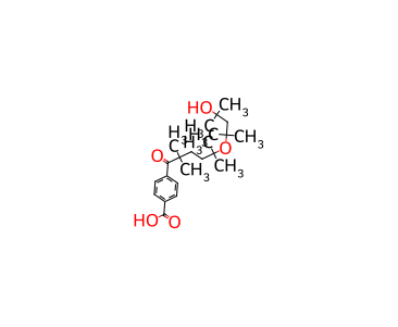 CC(C)(O)CC(C)(C)OC(C)(C)CCC(C)(C)C(=O)c1ccc(C(=O)O)cc1